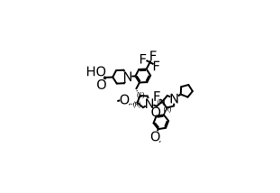 COC[C@H]1CN(C(=O)[C@]2(F)CN(C3CCCC3)C[C@H]2c2ccc(OC)cc2)C[C@H]1Cc1ccc(C(F)(F)F)cc1N1CCC(C(=O)O)CC1